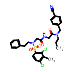 [CH2]CCN(Cc1ccc(C#N)cc1)C(=O)CNC(=O)CN(CCc1ccccc1)S(=O)(=O)c1ccc(Cl)c(C)c1Cl